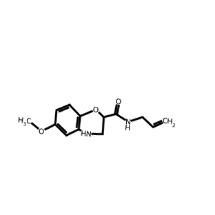 C=CCNC(=O)C1CNc2cc(OC)ccc2O1